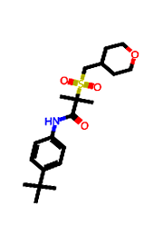 CC(C)(C)c1ccc(NC(=O)C(C)(C)S(=O)(=O)CC2CCOCC2)cc1